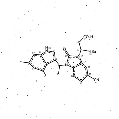 Cc1cc(C)c2c(C(C)n3c(=O)n(C(CC(=O)O)C(C)(C)C)c4cc(C#N)ccc43)c[nH]c2c1